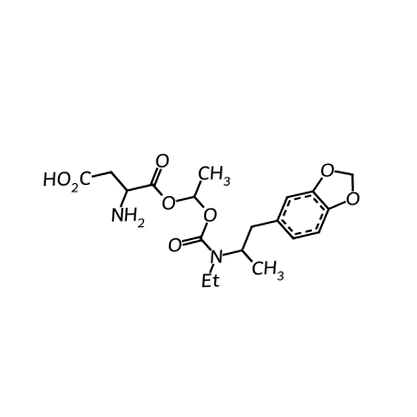 CCN(C(=O)OC(C)OC(=O)C(N)CC(=O)O)C(C)Cc1ccc2c(c1)OCO2